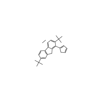 CC.CC(C)(C)c1ccc2c(c1)Cc1c-2ccc(C(C)(C)C)c1C1=CC=CC1